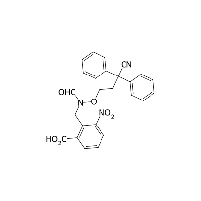 N#CC(CCON(C=O)Cc1c(C(=O)O)cccc1[N+](=O)[O-])(c1ccccc1)c1ccccc1